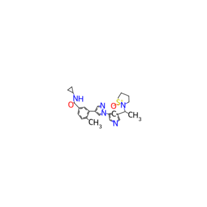 Cc1ccc(C(=O)NC2CC2)cc1-c1cnn(-c2cncc(C(C)N3CCCC[S+]3[O-])c2)c1